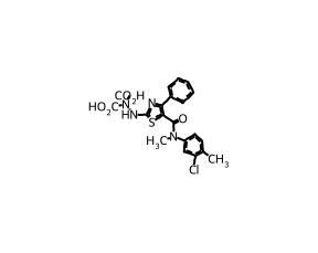 Cc1ccc(N(C)C(=O)c2sc(NN(C(=O)O)C(=O)O)nc2-c2ccccc2)cc1Cl